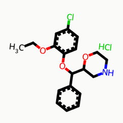 CCOc1cc(Cl)ccc1OC(c1ccccc1)C1CNCCO1.Cl